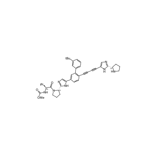 COC(=O)N[C@H](C(=O)N1CCC[C@H]1c1ncc(-c2ccc(C#CC#Cc3cnc([C@@H]4CCCN4)[nH]3)c(-c3cccc(C(C)(C)C)c3)c2)[nH]1)C(C)C